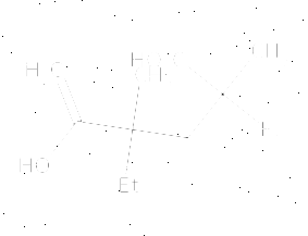 C=C(O)C(C)(CC)CC(C)(CC)C(=O)O